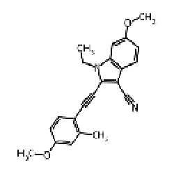 CCn1c(C#Cc2ccc(OC)cc2C)c(C#N)c2ccc(OC)cc21